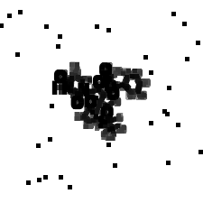 CC[C@@]1(C2(O[Si](C)(C)C(C)(C)C)CC=CC2)O[C@@H](n2cc(C)c(=O)[nH]c2=O)[C@@H](OS(C)(=O)=O)C1OCc1ccccc1